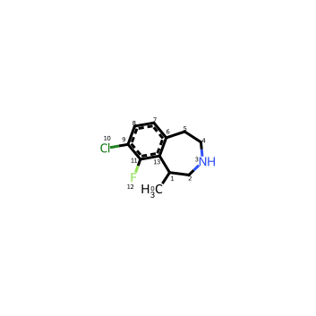 CC1CNCCc2ccc(Cl)c(F)c21